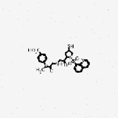 CN(C(=O)CNCC(=O)C1CC(S)CN1S(=O)(=O)c1cccc2cccnc12)c1ccc(C(=O)O)cc1